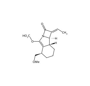 C/C=C1/C(=O)N2C(OC(=O)O)=C3[C@H](COC)CCC[C@H]3[C@H]12